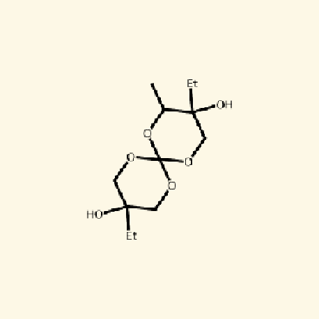 CCC1(O)COC2(OC1)OCC(O)(CC)C(C)O2